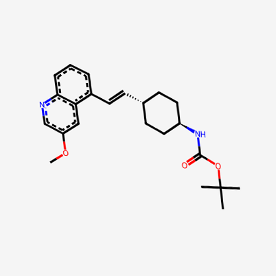 COc1cnc2cccc(C=C[C@H]3CC[C@H](NC(=O)OC(C)(C)C)CC3)c2c1